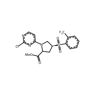 COC(=O)C1C[C@H](S(=O)(=O)c2ccccc2C(F)(F)F)CN1c1ccnc(Cl)n1